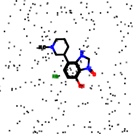 Br.CN1CCCC(c2ccc(O)c3c2NC[N+]3=O)C1